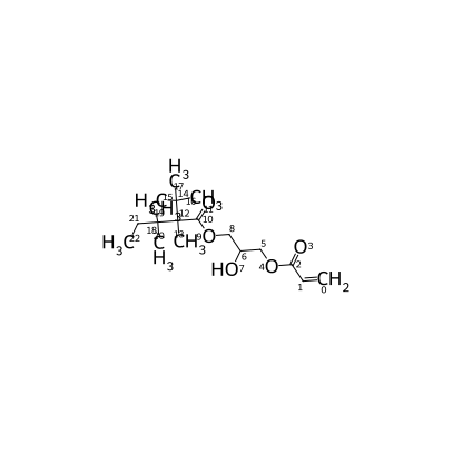 C=CC(=O)OCC(O)COC(=O)C(C)(C(C)(C)C)C(C)(C)CC